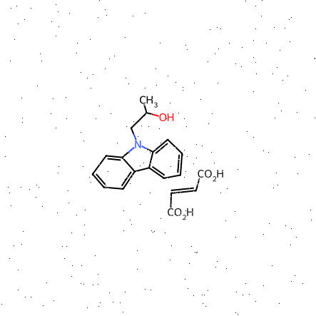 CC(O)Cn1c2ccccc2c2ccccc21.O=C(O)/C=C/C(=O)O